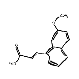 COc1ccc2cccc(C=CC(=O)O)c2c1